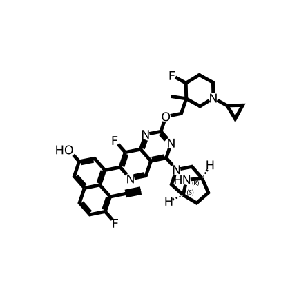 C#Cc1c(F)ccc2cc(O)cc(-c3ncc4c(N5C[C@H]6CC[C@@H](C5)N6)nc(OCC5(C)CN(C6CC6)CCC5F)nc4c3F)c12